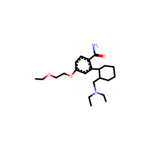 CCOCCOc1ccc(C(N)=O)c(C2CCCCC2CN(CC)CC)c1